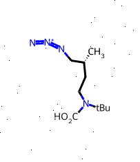 C[C@H](CCN(C(=O)O)C(C)(C)C)CN=[N+]=[N-]